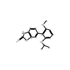 COc1cccc(OC(C)C)c1-c1ccc2[nH]c(=O)sc2c1